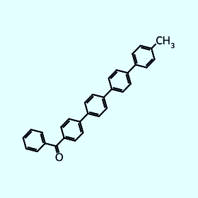 Cc1ccc(-c2ccc(-c3ccc(-c4ccc(C(=O)c5ccccc5)cc4)cc3)cc2)cc1